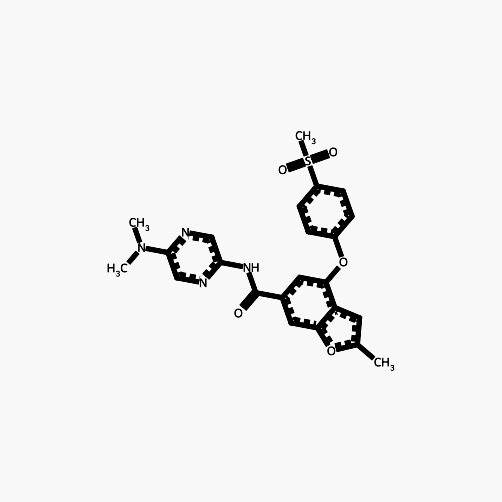 Cc1cc2c(Oc3ccc(S(C)(=O)=O)cc3)cc(C(=O)Nc3cnc(N(C)C)cn3)cc2o1